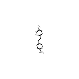 CCCC1CCC(CCC2CCC(C)OC2)NC1